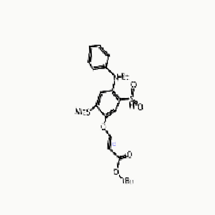 CCN(c1ccccc1)c1cc(SC)c(O/C=C/C(=O)OC(C)(C)C)cc1[SH](=O)=O